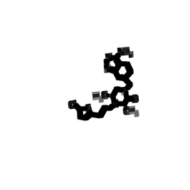 C[C@@H]1CN(Cc2ccc3c(N)ncnc3c2)C(=O)[C@H](C)N1C/C=C/c1ccc(Cl)s1